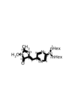 CCCCCCN(CCCCCC)c1cnc(/C=C2\N=C(C)N(C)C2=O)cn1